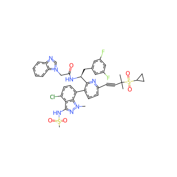 Cn1nc(NS(C)(=O)=O)c2c(Cl)ccc(-c3ccc(C#CC(C)(C)S(=O)(=O)C4CC4)nc3[C@H](Cc3cc(F)cc(F)c3)NC(=O)Cn3cnc4ccccc43)c21